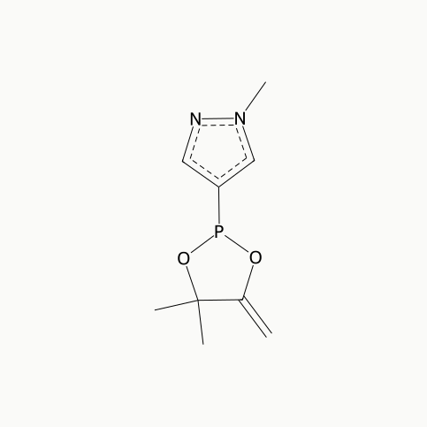 C=C1OP(c2cnn(C)c2)OC1(C)C